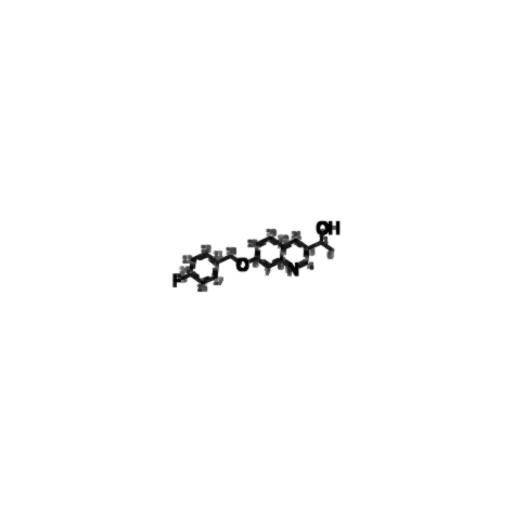 CC(O)c1cnc2cc(OCc3ccc(F)cc3)ccc2c1